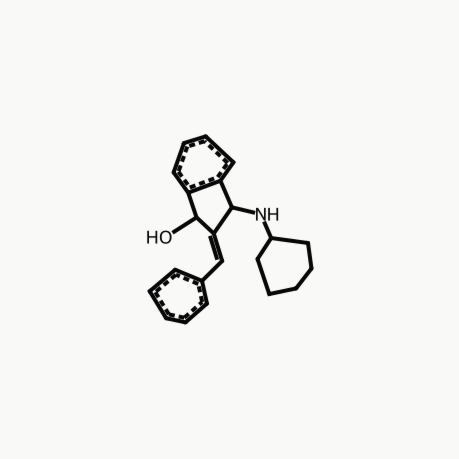 OC1/C(=C\c2ccccc2)C(NC2CCCCC2)c2ccccc21